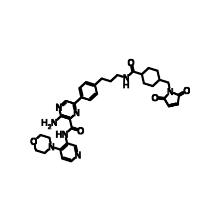 Nc1ncc(-c2ccc(CCCNC(=O)C3CCC(CN4C(=O)C=CC4=O)CC3)cc2)nc1C(=O)Nc1cnccc1N1CCOCC1